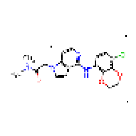 CN(C)C(=O)Cn1ccc2c(Nc3ccc(Cl)c4c3OCCO4)nccc21